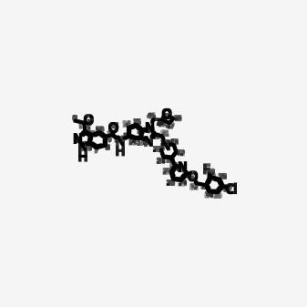 CC(=O)c1n[nH]c2ccc(C(=O)Nc3ccc4c(c3)nc(CN3CC=C(c5cccc(OCc6ccc(Cl)cc6F)n5)CC3)n4C[C@@H]3CCO3)cc12